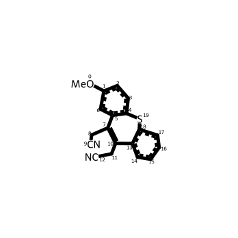 COc1ccc2c(c1)C(CC#N)=C(CC#N)c1ccccc1S2